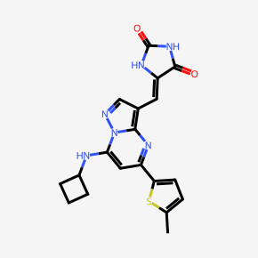 Cc1ccc(-c2cc(NC3CCC3)n3ncc(C=C4NC(=O)NC4=O)c3n2)s1